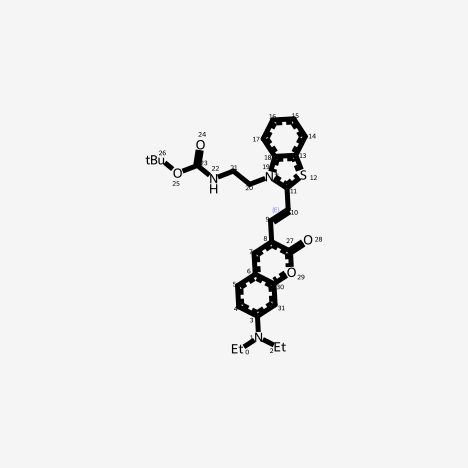 CCN(CC)c1ccc2cc(/C=C/c3sc4ccccc4[n+]3CCNC(=O)OC(C)(C)C)c(=O)oc2c1